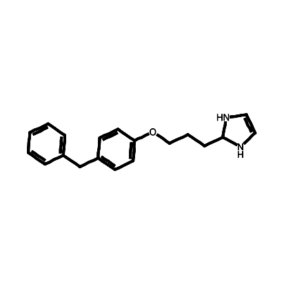 C1=CNC(CCCOc2ccc(Cc3ccccc3)cc2)N1